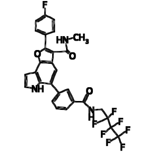 CNC(=O)c1c(-c2ccc(F)cc2)oc2c1cc(-c1cccc(C(=O)NCC(F)(F)C(F)(F)C(F)(F)F)c1)c1[nH]ccc12